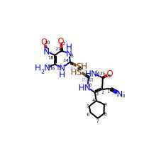 N#Cc1c(C2CCCCC2)[nH]/c(=[SH]/[SH]=c2\[nH]c(N)c(N=O)c(=O)[nH]2)[nH]c1=O